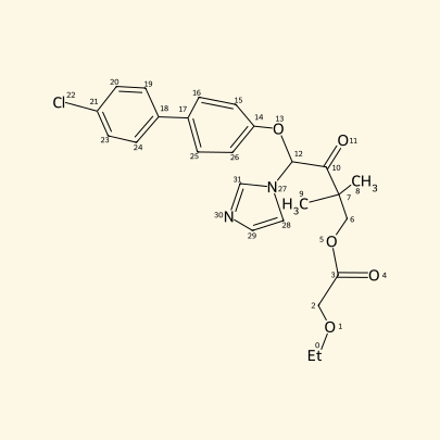 CCOCC(=O)OCC(C)(C)C(=O)C(Oc1ccc(-c2ccc(Cl)cc2)cc1)n1ccnc1